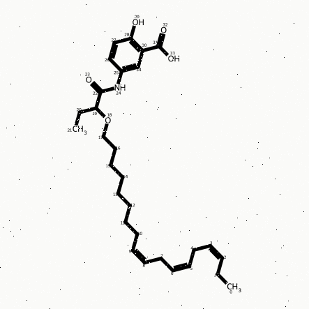 CC/C=C\C/C=C\C/C=C\CCCCCCCCOC(CC)C(=O)Nc1ccc(O)c(C(=O)O)c1